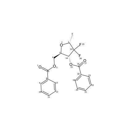 C[C@H]1O[C@H](COC(=O)c2ccccc2)[C@@H](OC(=O)c2ccccc2)C1(F)F